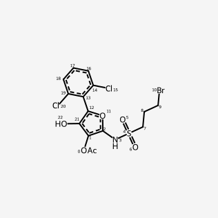 CC(=O)Oc1c(NS(=O)(=O)CCCBr)oc(-c2c(Cl)cccc2Cl)c1O